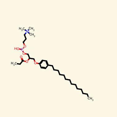 CCCCCCCCCCCCCCc1ccc(OCC(COP(O)OCCC[N+](C)(C)C)OC(=O)CC)cc1